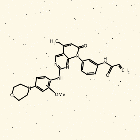 C=CC(=O)Nc1cccc(-n2c(=O)cc(C)c3cnc(Nc4ccc(N5CCOCC5)cc4OC)nc32)c1